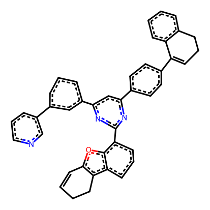 C1=Cc2oc3c(-c4nc(-c5ccc(C6=CCCc7ccccc76)cc5)cc(-c5cccc(-c6cccnc6)c5)n4)cccc3c2CC1